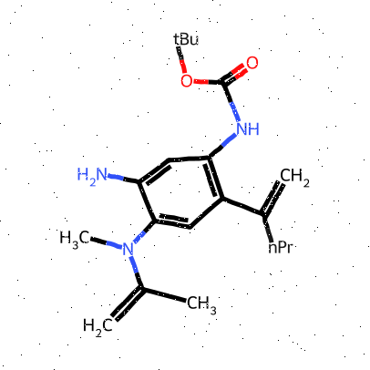 C=C(CCC)c1cc(N(C)C(=C)C)c(N)cc1NC(=O)OC(C)(C)C